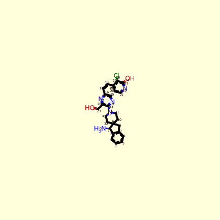 N[C@@H]1c2ccccc2CC12CCN(c1ncc(/C=C\c3ccnc(O)c3Cl)nc1CO)CC2